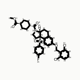 COC(=O)[C@H]1CC[C@H](C(=O)N2CC[C@@]3(S(=O)(=O)c4ccc(F)cc4)c4ccc(OCc5c(Cl)cccc5Cl)cc4CC[C@@H]23)CC1